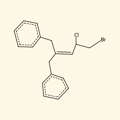 ClC(C=C(Cc1ccccc1)Cc1ccccc1)CBr